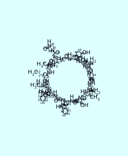 CCCCC[C@H]1C(=O)N[C@@H](CC(C)C)C(=O)N[C@H](C(=O)NCC(=O)N2CCNC(=O)C2)CSCC(=O)N[C@@H](Cc2ccc(O)cc2)C(=O)N(C)[C@@H](C)C(=O)N[C@@H](CC(N)=O)C(=O)N2CCC[C@H]2C(=O)N[C@@H](CN)C(=O)N[C@@H](CC(C)C)C(=O)N2C[C@H](O)C[C@H]2C(=O)N[C@@H](Cc2c[nH]c3ccccc23)C(=O)NCC(=O)NC(Cc2c[nH]c3ccccc23)C(=O)N(C)[C@@H](CCCC)C(=O)N1C